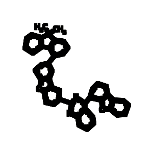 CC1(C)c2ccccc2-c2c(-c3ccc4oc5ccc(-c6nc(-c7cccc8c7oc7ccccc78)c7ccccc7n6)cc5c4c3)cccc21